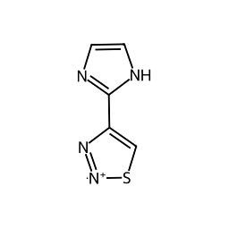 C1=C(c2ncc[nH]2)N=[N+]S1